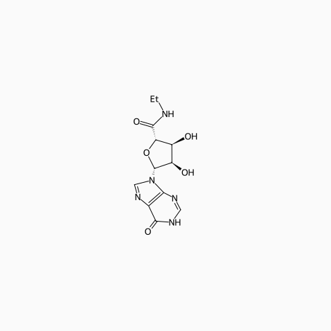 CCNC(=O)[C@H]1O[C@@H](n2cnc3c(=O)[nH]cnc32)[C@H](O)[C@@H]1O